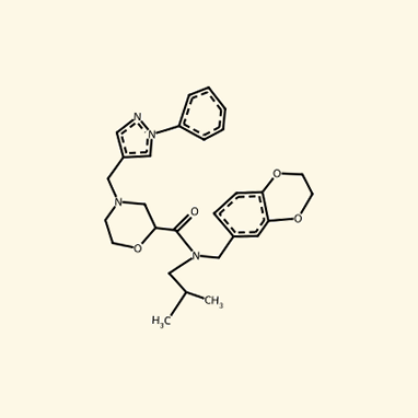 CC(C)CN(Cc1ccc2c(c1)OCCO2)C(=O)C1CN(Cc2cnn(-c3ccccc3)c2)CCO1